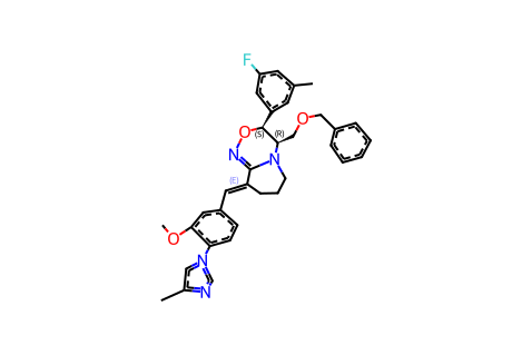 COc1cc(/C=C2\CCCN3C2=NO[C@@H](c2cc(C)cc(F)c2)[C@H]3COCc2ccccc2)ccc1-n1cnc(C)c1